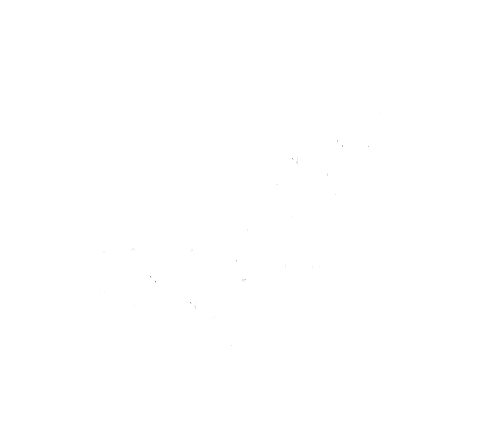 CC(C(=O)C(C)c1ccc(N2CCCC2)nc1O)c1ccc(N2CCCC2)nc1O